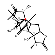 C[C@@H]1C(=O)OC2CC34C5OC(=O)[C@]3(O[C@@H]3OC(=O)[C@H](O)C34[C@H](C(C)(C)C)[C@H]5O)[C@]21O